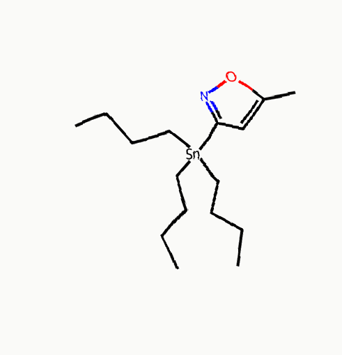 CCC[CH2][Sn]([CH2]CCC)([CH2]CCC)[c]1cc(C)on1